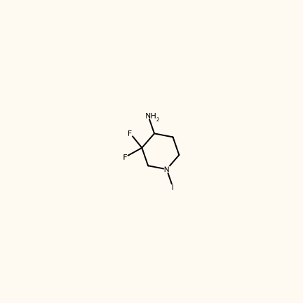 NC1CCN(I)CC1(F)F